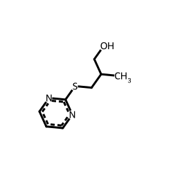 CC(CO)CSc1ncccn1